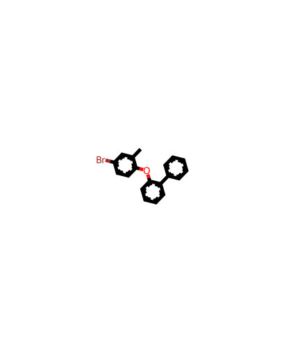 Cc1cc(Br)ccc1Oc1ccccc1-c1ccccc1